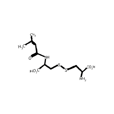 CC(C)=CC(=O)NC(CSSCC(N)C(=O)O)C(=O)O